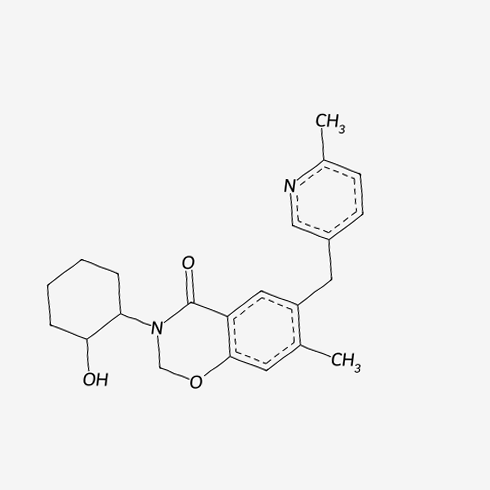 Cc1ccc(Cc2cc3c(cc2C)OCN(C2CCCCC2O)C3=O)cn1